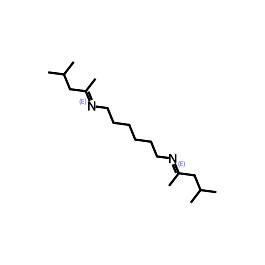 C/C(CC(C)C)=N\CCCCCC/N=C(\C)CC(C)C